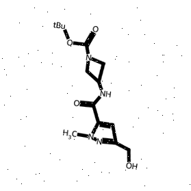 Cn1nc(CO)cc1C(=O)NC1CN(C(=O)OC(C)(C)C)C1